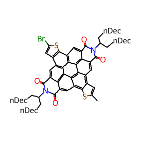 CCCCCCCCCCCC(CCCCCCCCCCC)n1c(=O)c2cc3c4cc(Br)sc4c4cc5c(=O)n(C(CCCCCCCCCCC)CCCCCCCCCCC)c(=O)c6cc7c8cc(C)sc8c8cc(c1=O)c2c1c3c4c(c65)c7c81